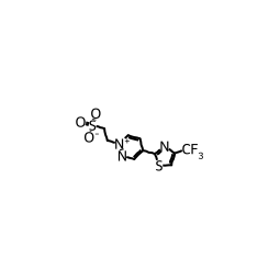 O=S(=O)([O-])CC[n+]1ccc(-c2nc(C(F)(F)F)cs2)cn1